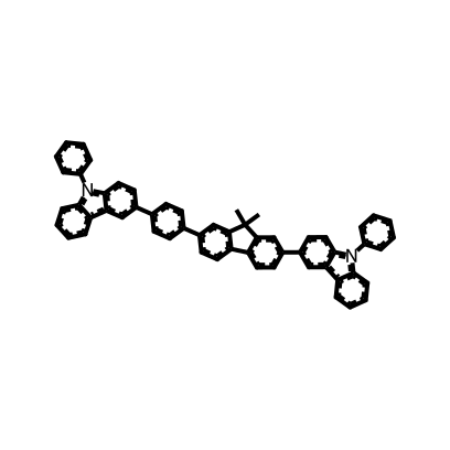 CC1(C)c2cc(-c3ccc(-c4ccc5c(c4)c4ccccc4n5-c4ccccc4)cc3)ccc2-c2ccc(-c3ccc4c(c3)c3ccccc3n4-c3ccccc3)cc21